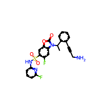 CC(c1ccccc1C#CCN)n1c(=O)oc2cc(S(=O)(=O)Nc3cccc(F)n3)c(F)cc21